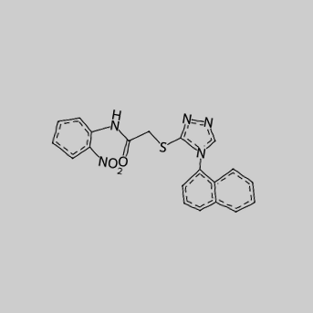 O=C(CSc1nncn1-c1cccc2ccccc12)Nc1ccccc1[N+](=O)[O-]